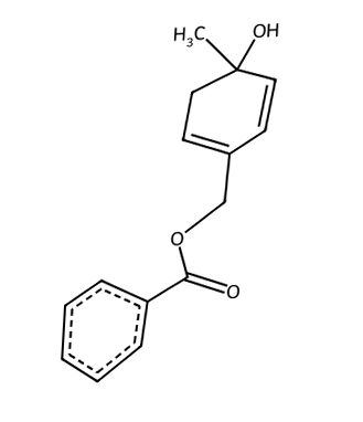 CC1(O)C=CC(COC(=O)c2ccccc2)=CC1